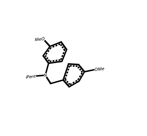 CCCC(C)N(Cc1ccc(OC)cc1)c1cccc(OC)c1